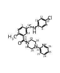 Cc1ccc(SNc2ccc(Cl)cc2)cc1C(=O)N1CCN(c2ccccn2)CC1